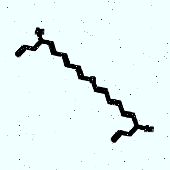 C=CCC(C=CC=CC=COC=CC=CC=CC(CC=C)C(C)=O)C(C)=O